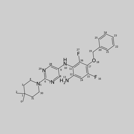 CC1(C)CCN(c2ncc(Nc3c(N)cc(F)c(OCc4ccccc4)c3F)cn2)CC1